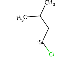 CC(C)C[Si]Cl